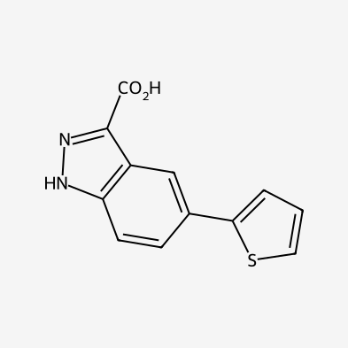 O=C(O)c1n[nH]c2ccc(-c3cccs3)cc12